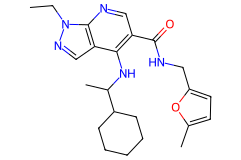 CCn1ncc2c(NC(C)C3CCCCC3)c(C(=O)NCc3ccc(C)o3)cnc21